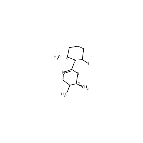 CC1CN=C(N2C(I)CCC[C@H]2C)S[C@H]1C